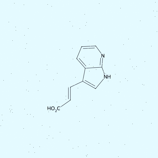 O=C(O)C=Cc1c[nH]c2ncccc12